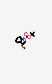 CSc1cn(C(=O)OC(C)(C)C)c2ccccc12